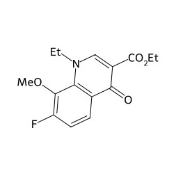 CCOC(=O)c1cn(CC)c2c(OC)c(F)ccc2c1=O